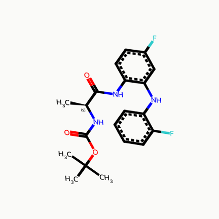 C[C@H](NC(=O)OC(C)(C)C)C(=O)Nc1ccc(F)cc1Nc1ccccc1F